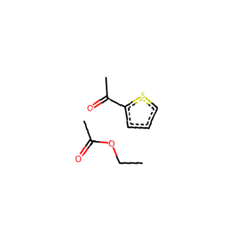 CC(=O)c1cccs1.CCOC(C)=O